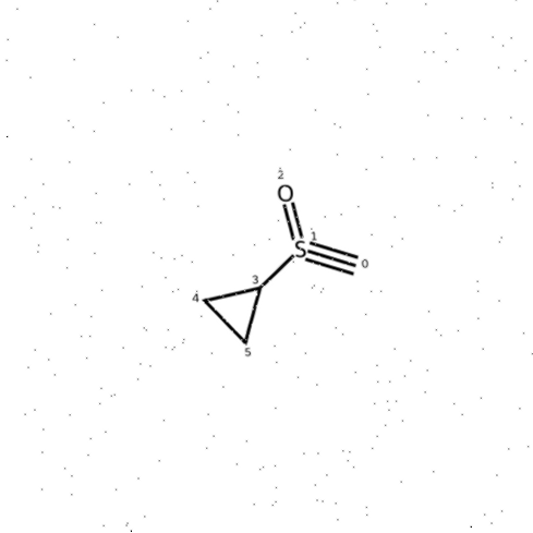 C#S(=O)C1CC1